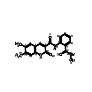 Cc1cc2cc(C(=O)Nc3ccccc3C(=O)NO)c(=O)oc2cc1C